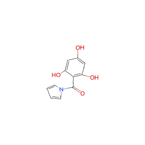 O=C(c1c(O)cc(O)cc1O)n1cccc1